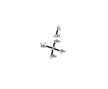 CCCC[N+](CCCC)(CCCC)CCCC.CCO.[I-]